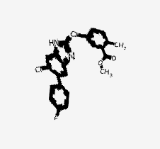 COC(=O)c1cc(Oc2nc3cc(-c4ccc(F)cc4)c(Cl)cc3[nH]2)ccc1C